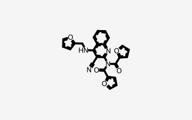 N#Cc1c(N(C(=O)c2ccco2)C(=O)c2ccco2)nc2ccccc2c1NCc1ccco1